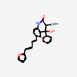 COC1C(=O)Nc2ccc(/C=C/C=C/c3ccco3)c(O)c2C1(O)c1ccccc1